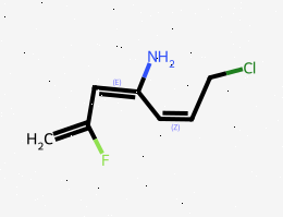 C=C(F)/C=C(N)\C=C/CCl